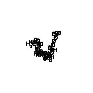 CC[C@@]1(O)C(=O)OCc2c1cc1n(c2=O)Cc2c-1nc1cc(F)c(N)cc1c2COCNC(=O)CNC(=O)C(Cc1ccccc1)NC(=O)CNC(=O)CNC(=O)CCOCCOCCOCCN1C(=O)C=CC1=O